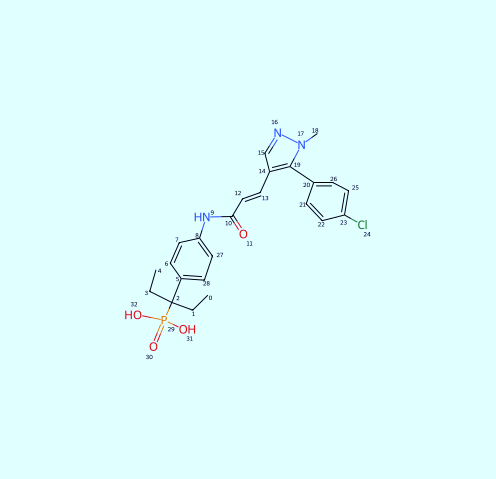 CCC(CC)(c1ccc(NC(=O)C=Cc2cnn(C)c2-c2ccc(Cl)cc2)cc1)P(=O)(O)O